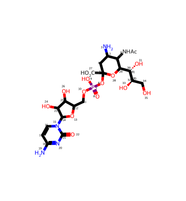 CC(=O)NC1C(N)CC(OP(=O)(O)OCC2OC(n3ccc(N)nc3=O)C(O)C2O)(C(=O)O)OC1[C@H](O)[C@H](O)CO